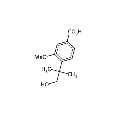 COc1cc(C(=O)O)ccc1C(C)(C)CO